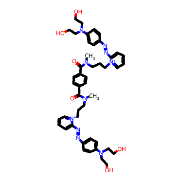 CN(CCC[n+]1ccccc1N=Nc1ccc(N(CCO)CCO)cc1)C(=O)c1ccc(C(=O)N(C)CCC[n+]2ccccc2/N=N/c2ccc(N(CCO)CCO)cc2)cc1